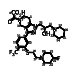 O=C(O)C(=O)N1CCc2c(c(-c3ccc(C(F)(F)F)c(SCCN4CCC(F)CC4)c3)nn2CC(O)CN2CCCCC2)C1